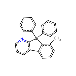 Cc1cccc2c1[Si](c1ccccc1)(c1ccccc1)c1ncccc1-2